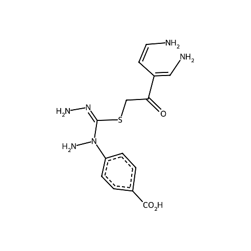 N/C=C\C(=C/N)C(=O)CS/C(=N/N)N(N)c1ccc(C(=O)O)cc1